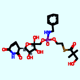 CC(C)(CO)C(=O)SCCOP(=O)(NCc1ccccc1)OC[C@@]1(O)O[C@@H](C2C=CC(=O)NC2=O)[C@H](O)C1O